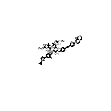 COC(=O)N[C@H](C(=O)N[C@@H](Cc1ccc(C#Cc2ccc(N3CCN4CCOC[C@H]4C3)nc2)cc1)[C@@H](O)CN(Cc1c(F)cc(-c2ccn(C3CC3)n2)cc1F)NC(=O)[C@@H](NC(=O)OC)C(C)(C)C(F)(F)F)C(C)(C)C(F)(F)F